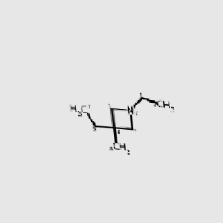 CCN1CC(C)(CC)C1